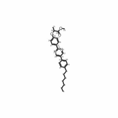 CCCCCCCc1ccc(-c2cnc(-c3ccc(OC(C)C(=O)OC)cc3)nc2)cc1